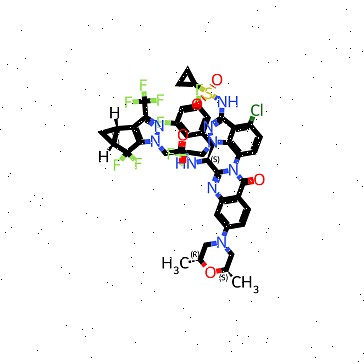 C[C@@H]1CN(c2ccc3c(=O)n(-c4ccc(Cl)c5c(NS(=O)(=O)C6CC6)nn(CC(F)(F)F)c45)c([C@H](Cc4cc(F)cc(F)c4)NC(=O)Cn4nc(C(F)(F)F)c5c4C(F)(F)[C@@H]4C[C@H]54)nc3c2)C[C@H](C)O1